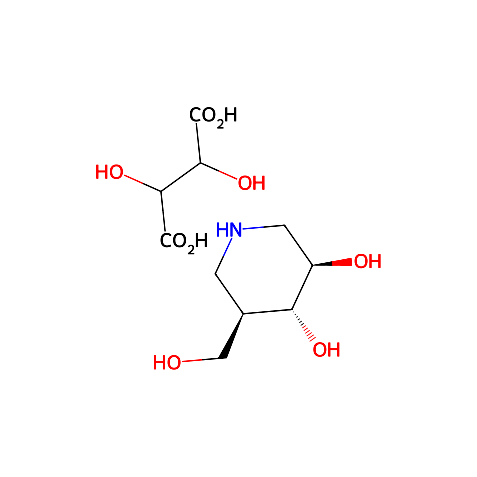 O=C(O)C(O)C(O)C(=O)O.OC[C@H]1CNC[C@@H](O)[C@@H]1O